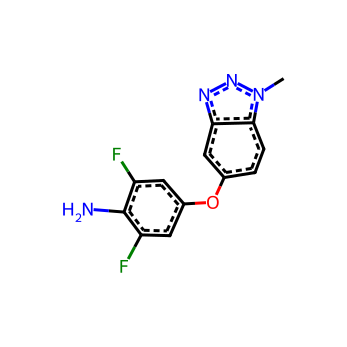 Cn1nnc2cc(Oc3cc(F)c(N)c(F)c3)ccc21